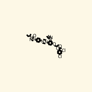 CCC(C)n1ncn(-c2ccc(N3CCN(c4ccc(OCC5COC(C)(c6ccc(Cl)cc6Cl)O5)cc4)CC3)cc2)c1=O.c1c2nnn1-2